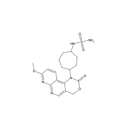 COc1ccc2c3c(cnc2n1)COC(=O)N3C1CCCC(NS(N)(=O)=O)CC1